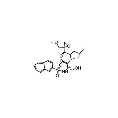 CC(C)CC(NC(=O)[C@H](CO)NS(=O)(=O)c1ccc2ccccc2c1)C(=O)C1(CO)CO1